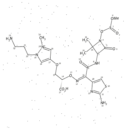 COS(=O)ON1C(=O)C(NC(=O)C(=NO[C@@H](COc2cn(CCCN)[n+](C)c2)C(=O)O)c2csc(N)n2)C1(C)C